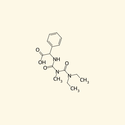 CCN(CC)C(=O)N(C)C(=O)NC(C(=O)O)c1ccccc1